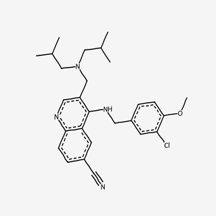 COc1ccc(CNc2c(CN(CC(C)C)CC(C)C)cnc3ccc(C#N)cc23)cc1Cl